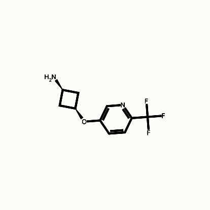 N[C@H]1C[C@@H](Oc2ccc(C(F)(F)F)nc2)C1